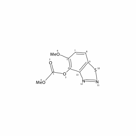 COC(=O)Oc1c(OC)ccc2snnc12